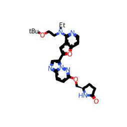 CCN(CCOC(C)(C)C)c1nccc2oc(-c3cnc4ccc(OC[C@H]5CCC(=O)N5)nn34)cc12